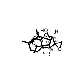 CC(=O)C1[C@]2(C)[C@@]3(C)CCC(C)=C[C@H]3O[C@H]([C@@]1(O)C(C)=O)[C@@]21CO1